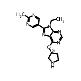 CCn1c(-c2cnc(C)nc2)nc2c(O[C@H]3CCNC3)ncnc21